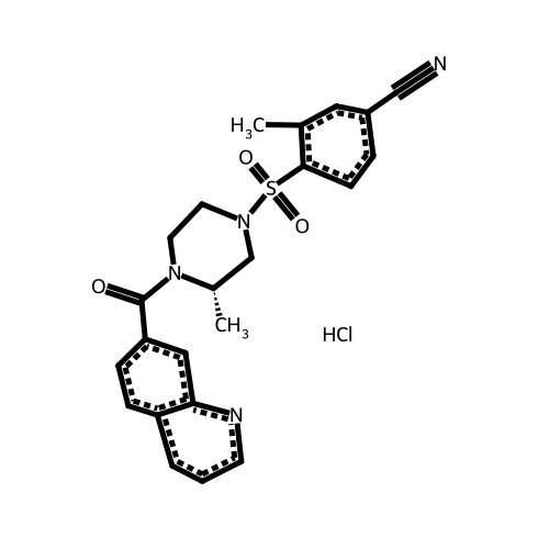 Cc1cc(C#N)ccc1S(=O)(=O)N1CCN(C(=O)c2ccc3cccnc3c2)[C@@H](C)C1.Cl